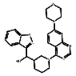 OC(c1nsc2ccccc12)C1CCCN(c2ncnc3cc(N4CCOCC4)ccc23)C1